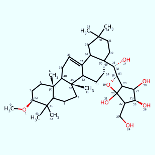 CO[C@H]1CC[C@@]2(C)C(CC[C@@]3(C)C4CC[C@@]5([C@H](O)[C@H]6OC7(O)C(CO)[C@H](O)C(O)C67)CCC(C)(C)CC5C4=CCC32)C1(C)C